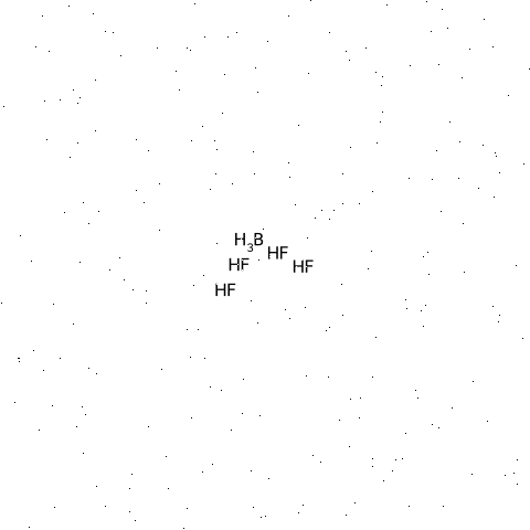 B.F.F.F.F